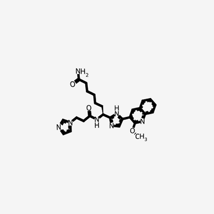 COc1nc2ccccc2cc1-c1cnc([C@H](CCCCCC(N)=O)NC(=O)CCn2ccnc2)[nH]1